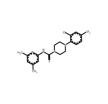 Cc1cc(C)nc(NC(=S)N2CCN(c3ccc(C(F)(F)F)cc3Cl)CC2)c1